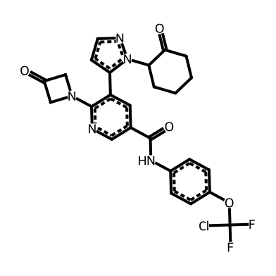 O=C1CN(c2ncc(C(=O)Nc3ccc(OC(F)(F)Cl)cc3)cc2-c2ccnn2C2CCCCC2=O)C1